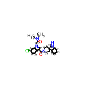 CCN(CC)C(=O)Cn1cc(C(=O)N2CCC3(CC2)CNc2ccccc23)c2ccc(Cl)cc21